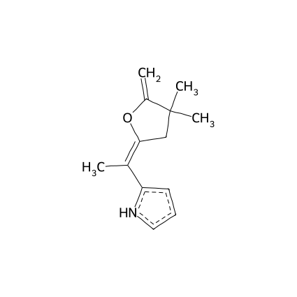 C=C1O/C(=C(\C)c2ccc[nH]2)CC1(C)C